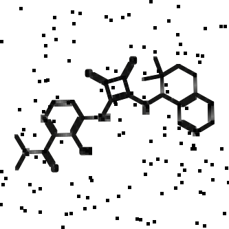 CN(C)C(=O)c1nccc(Nc2c(NC3c4cnccc4CCC3(C)C)c(=O)c2=O)c1O